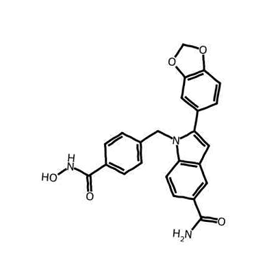 NC(=O)c1ccc2c(c1)cc(-c1ccc3c(c1)OCO3)n2Cc1ccc(C(=O)NO)cc1